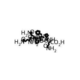 NC(=O)CC[C@H](NC(=O)[C@@H]1CCCN1C(=O)[C@H](Cc1ccccc1)NC(=O)[C@@H]1CCCN1C(=O)[C@H](CCC(N)=O)NC(=O)[C@@H](N)CCC(N)=O)C(=O)O